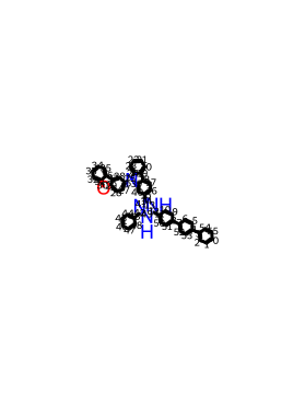 c1ccc(-c2ccc(-c3ccc(C4NC(c5ccc6c7ccccc7n(-c7ccc8oc9ccccc9c8c7)c6c5)=NC(c5ccccc5)N4)cc3)cc2)cc1